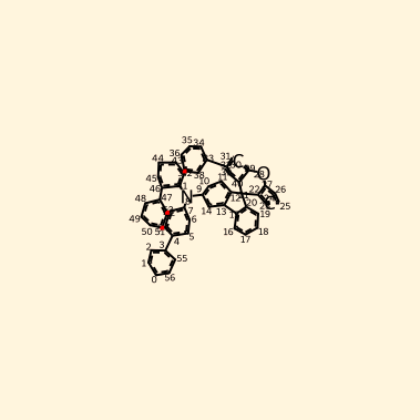 c1ccc(-c2ccc(N(c3ccc4c(c3)-c3ccccc3C43c4ccccc4Oc4ccc(-c5ccccc5)cc43)c3ccccc3-c3ccccc3)cc2)cc1